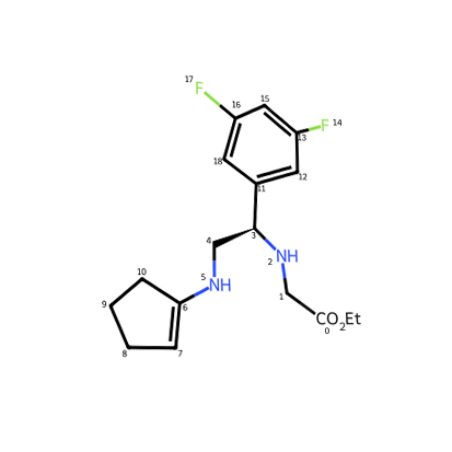 CCOC(=O)CN[C@@H](CNC1=CCCC1)c1cc(F)cc(F)c1